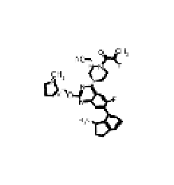 C=C(F)C(=O)N1CCN(c2nc(OC[C@@H]3CCCN3C)nc3cc(-c4cccc5c4C(C)CC5)c(F)cc23)C[C@@H]1CC#N